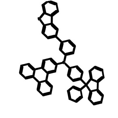 c1ccc(C2(c3ccc(N(c4cccc(-c5ccc6oc7ccccc7c6c5)c4)c4ccc5c6ccccc6c6ccccc6c5c4)cc3)c3ccccc3-c3ccccc32)cc1